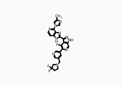 Cc1cn(-c2nccc3[nH]c(-c4n[nH]c5cnc(-c6cncc(CN7CCC(F)(F)C7)c6)c(F)c45)nc23)cn1